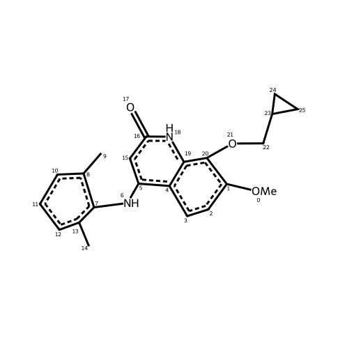 COc1ccc2c(Nc3c(C)cccc3C)cc(=O)[nH]c2c1OCC1CC1